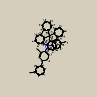 CC1=CC(c2cccc(C)c2)CC=C1N(c1ccc(C)cc1)c1cccc2c1C1(c3ccccc3-c3ccccc31)c1ccccc1-2